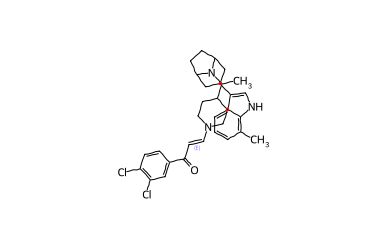 Cc1cccc2c(C3CC4CCC(C3)N4C(C)C3CCN(/C=C/C(=O)c4ccc(Cl)c(Cl)c4)CC3)c[nH]c12